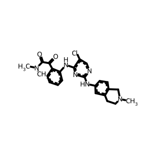 CN1CCc2cc(Nc3ncc(Cl)c(Nc4ccccc4C(=O)C(=O)N(C)C)n3)ccc2C1